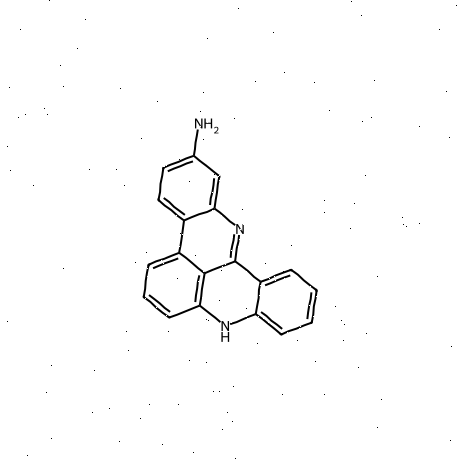 Nc1ccc2c(c1)nc1c3c(cccc32)Nc2ccccc2-1